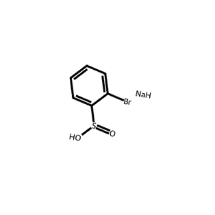 O=S(O)c1ccccc1Br.[NaH]